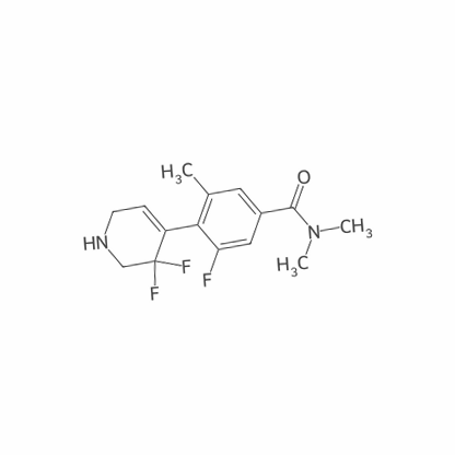 Cc1cc(C(=O)N(C)C)cc(F)c1C1=CCNCC1(F)F